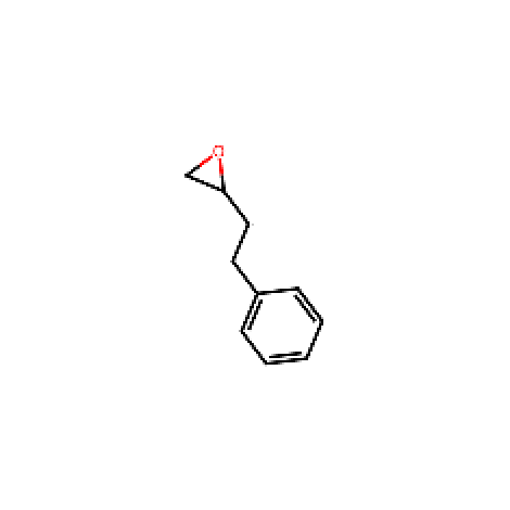 [CH](Cc1ccccc1)C1CO1